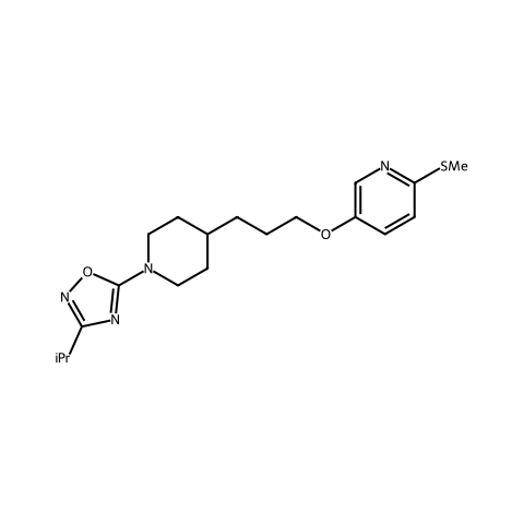 CSc1ccc(OCCCC2CCN(c3nc(C(C)C)no3)CC2)cn1